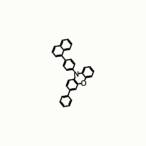 c1ccc(-c2ccc3c(c2)Oc2ccccc2N3c2ccc(-c3cccc4ccccc34)cc2)cc1